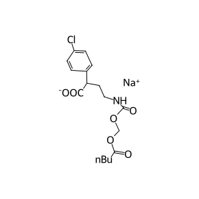 CCCCC(=O)OCOC(=O)NCCC(C(=O)[O-])c1ccc(Cl)cc1.[Na+]